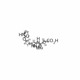 CC(C)NC(=O)O[C@@H]1CC[C@H](c2cc(NC(=O)C34CC(C(=O)O)(C3)C4)n(C(C)(C)C)n2)C1